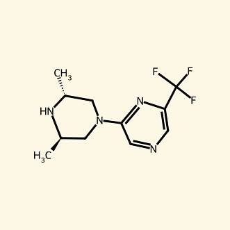 C[C@@H]1CN(c2cncc(C(F)(F)F)n2)C[C@@H](C)N1